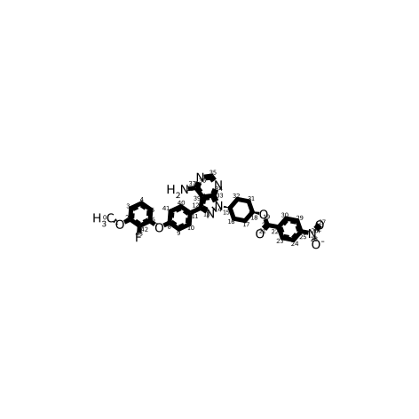 COc1cccc(Oc2ccc(-c3nn([C@H]4CC[C@H](OC(=O)c5ccc([N+](=O)[O-])cc5)CC4)c4ncnc(N)c34)cc2)c1F